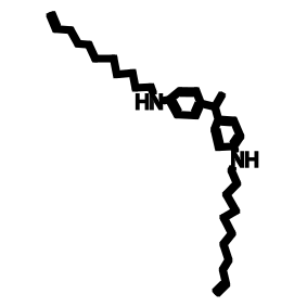 C=CCCCCCCCCCNc1ccc(C(C)c2ccc(NCCCCCCCCCC=C)cc2)cc1